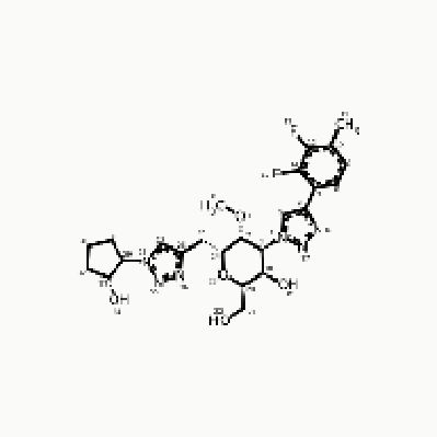 CO[C@@H]1[C@@H](n2cc(-c3ccc(C)c(F)c3F)nn2)[C@@H](O)[C@@H](CO)O[C@@H]1Cc1cn([C@@H]2CCC[C@H]2O)nn1